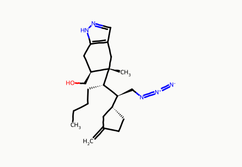 C=C1CC[C@@H]([C@H](CN=[N+]=[N-])[C@H](CCCC)[C@@]2(C)Cc3cn[nH]c3C[C@@H]2CO)C1